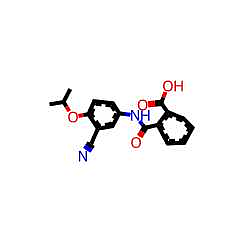 CC(C)Oc1ccc(NC(=O)c2ccccc2C(=O)O)cc1C#N